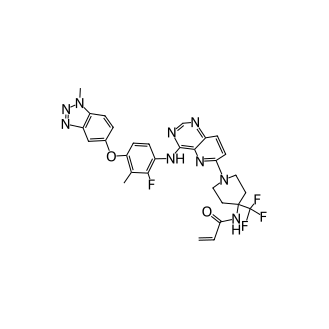 C=CC(=O)NC1(C(F)(F)F)CCN(c2ccc3ncnc(Nc4ccc(Oc5ccc6c(c5)nnn6C)c(C)c4F)c3n2)CC1